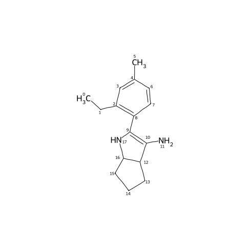 CCc1cc(C)ccc1C1=C(N)C2CCCC2N1